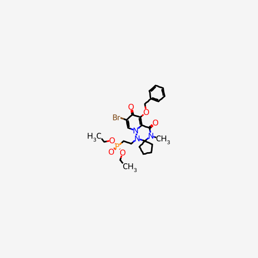 CCOP(=O)(CCN1n2cc(Br)c(=O)c(OCc3ccccc3)c2C(=O)N(C)C12CCCC2)OCC